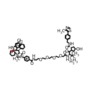 CCN1[C@@H](C(=O)NC23CCC(C(=O)NCCOCCOCCOCCOCC(=O)N[C@H](C(=O)C4C[C@H](O)C[C@H]4C(=O)NCc4ccc(-c5scnc5C)cc4)C(C)(C)C)(CC2)CC3)[C@H](c2cccc(Cl)c2F)[C@]2(C(=O)Nc3cc(Cl)ccc32)C12CCCCC2